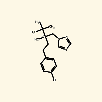 CC(C)(C)[C@@](O)(CCc1ccc(Cl)cc1)Cn1cncn1